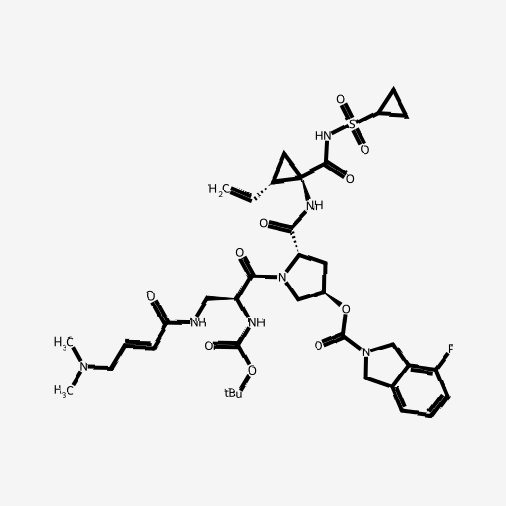 C=C[C@@H]1C[C@]1(NC(=O)[C@@H]1C[C@@H](OC(=O)N2Cc3cccc(F)c3C2)CN1C(=O)[C@H](CNC(=O)C=CCN(C)C)NC(=O)OC(C)(C)C)C(=O)NS(=O)(=O)C1CC1